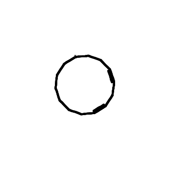 [CH]1CCC=CCC=CCCCCCC1